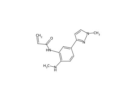 C=CC(=O)Nc1cc(-c2ccn(C)n2)ccc1NC